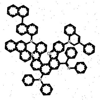 C1=C(c2ccccc2)CN(c2ccc3oc4c(c(/C(=N/c5ccccc5)c5ccccc5)cc5cc(N(c6ccccc6)c6ccccc6)c6ccc7oc8c(N(c9cccc%10c(-c%11cccc%12ccccc%11%12)cccc9%10)c9cc%10ccccc%10c%10ccccc9%10)cccc8c7c6c54)c3c2)c2ccccc21